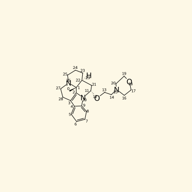 C[C@]12c3c4c5ccccc5n3[C@@H](OCCN3CCOCC3)C[C@@H]1CCCN2CC4